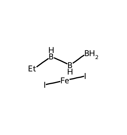 BBBCC.[I][Fe][I]